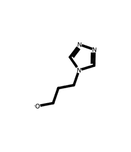 [O]CCCn1cnnc1